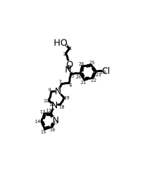 OCCON=C(CCN1CCN(c2ccccn2)CC1)c1ccc(Cl)cc1